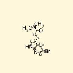 CN(C)C(=O)C=Cc1c[nH]c2ncc(Br)cc12